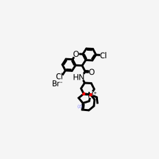 CC[N+]1(C/C2=C\CCCCCC2)CCC(NC(=O)C2c3cc(Cl)ccc3Oc3ccc(Cl)cc32)CC1.[Br-]